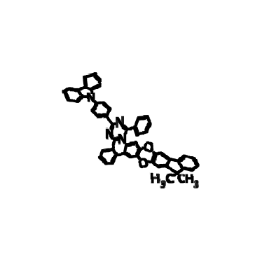 CC1(C)c2ccccc2-c2cc3c(cc21)Oc1cc(-c2ccccc2-c2nc(-c4ccccc4)nc(-c4ccc(-n5c6ccccc6c6ccccc65)cc4)n2)ccc1O3